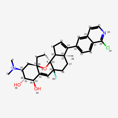 CN(C)[C@H]1C[C@@]23CC[C@]4(O2)C2CC=C(c5ccc6c(Cl)nccc6c5)[C@@]2(C)CCC4(F)C=C3[C@@H](O)[C@@H]1O